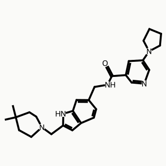 CC1(C)CCN(Cc2cc3ccc(CNC(=O)c4cncc(N5CCCC5)c4)cc3[nH]2)CC1